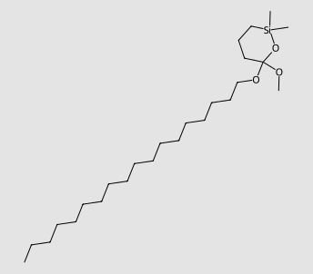 CCCCCCCCCCCCCCCCCCOC1(OC)CCC[Si](C)(C)O1